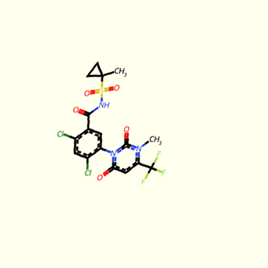 Cn1c(C(F)(F)F)cc(=O)n(-c2cc(C(=O)NS(=O)(=O)C3(C)CC3)c(Cl)cc2Cl)c1=O